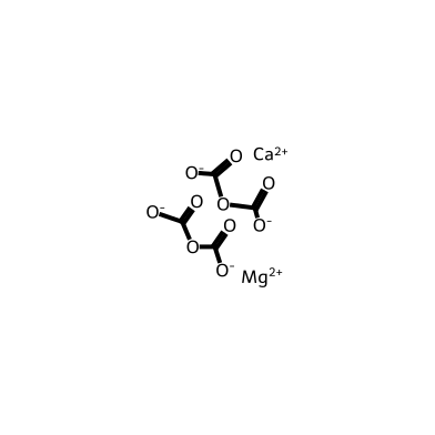 O=C([O-])OC(=O)[O-].O=C([O-])OC(=O)[O-].[Ca+2].[Mg+2]